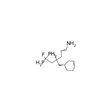 CC(C/C=C/N)(C[C@H]1CC=CCC1)CC(F)(P)P